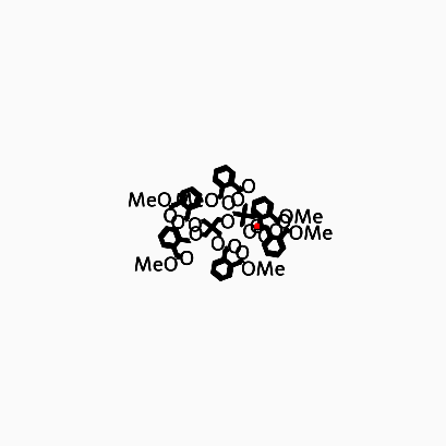 COC(=O)c1ccccc1COCC(COCC(COCc1ccccc1C(=O)OC)(COC(=O)c1ccccc1C(=O)OC)COC(=O)c1ccccc1C(=O)OC)(COC(=O)c1ccccc1C(=O)OC)COC(=O)c1ccccc1C(=O)OC